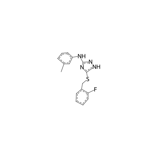 Cc1cccc(Nc2n[nH]c(SCc3ccccc3F)n2)c1